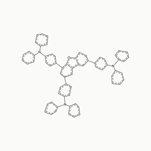 c1ccc(N(c2ccccc2)c2ccc(-c3ccc4oc5c(-c6ccc(N(c7ccccc7)c7ccccc7)cc6)cc(-c6ccc(N(c7ccccc7)c7ccccc7)cc6)cc5c4c3)cc2)cc1